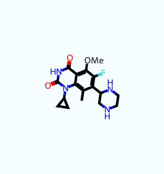 COc1c(F)c(C2CNCCN2)c(C)c2c1c(=O)[nH]c(=O)n2C1CC1